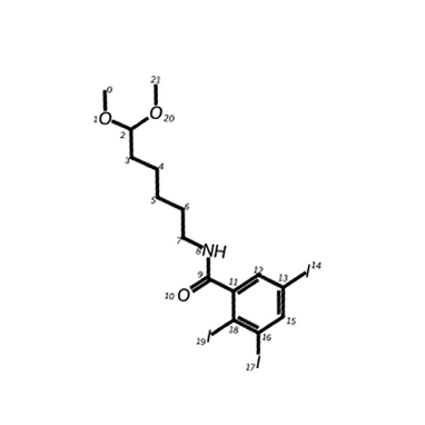 COC(CCCCCNC(=O)c1cc(I)cc(I)c1I)OC